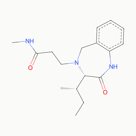 CC[C@H](C)[C@H]1C(=O)Nc2ccccc2CN1CCC(=O)NC